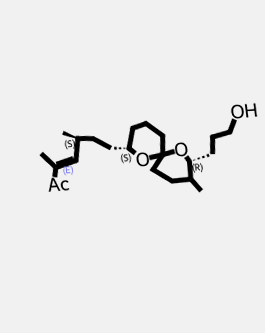 CC(=O)/C(C)=C/[C@@H](C)CC[C@@H]1CCCC2(CCC(C)[C@@H](CCCO)O2)O1